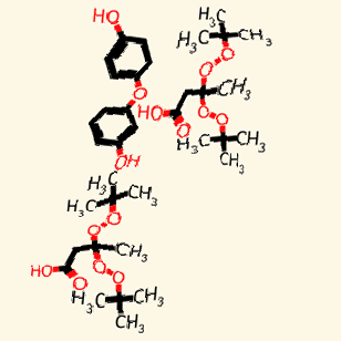 CC(C)(C)OOC(C)(CC(=O)O)OOC(C)(C)C.CC(C)(C)OOC(C)(CC(=O)O)OOC(C)(C)C.Oc1ccc(Oc2cccc(O)c2)cc1